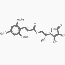 COc1cc(OC)c(/C=C/C(=O)OC[C@@H](O)[C@H]2OC(=O)C(O)=C2O)c(OC)c1